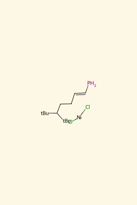 CC(C)(C)C(CCC=CP)C(C)(C)C.[Cl][Ni][Cl]